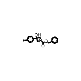 O=C(OCc1ccccc1)N1CC(O)(c2ccc(F)cc2)C1